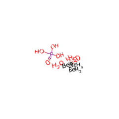 O.O.O.O=P(O)(O)O.[BeH2].[BeH2].[BeH2]